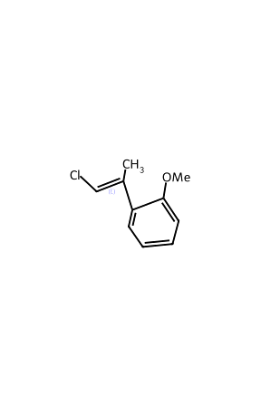 COc1ccccc1/C(C)=C/Cl